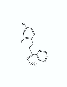 O=C(O)/C=C(/CCc1ccc(Cl)cc1F)c1ccccc1